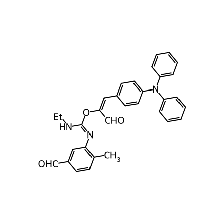 CCN/C(=N\c1cc(C=O)ccc1C)O/C(C=O)=C/c1ccc(N(c2ccccc2)c2ccccc2)cc1